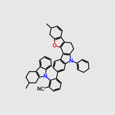 CC1C=Cc2c(oc3c2CCc2c-3c3ccc(-c4cccc(C#N)c4-n4c5c(c6ccccc64)CCC(C)C5)cc3n2C2=CCCC=C2)C1